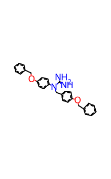 N=C(N)N(Cc1ccc(OCc2ccccc2)cc1)c1ccc(OCc2ccccc2)cc1